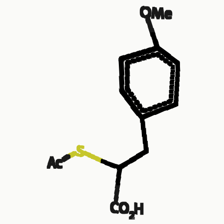 COc1ccc(CC(SC(C)=O)C(=O)O)cc1